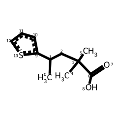 CC(CC(C)(C)C(=O)O)c1cccs1